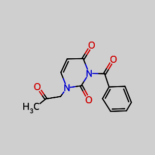 CC(=O)Cn1ccc(=O)n(C(=O)c2ccccc2)c1=O